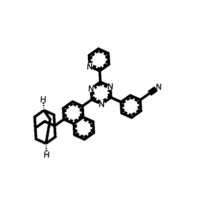 N#Cc1cccc(-c2nc(-c3ccccn3)nc(-c3ccc(C45CC6C[C@H](C4)C[C@@H](C6)C5)c4ccccc34)n2)c1